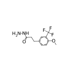 COc1ccc(CCC(=O)NN)cc1C(F)(F)F